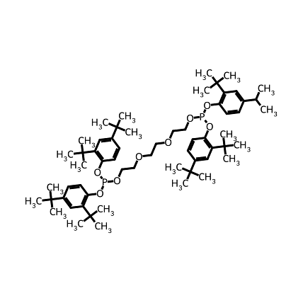 CC(C)c1ccc(OP(OCCOCCOCCOP(Oc2ccc(C(C)(C)C)cc2C(C)(C)C)Oc2ccc(C(C)(C)C)cc2C(C)(C)C)Oc2ccc(C(C)(C)C)cc2C(C)(C)C)c(C(C)(C)C)c1